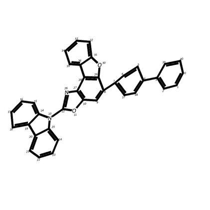 c1ccc(-c2ccc(-c3cc4oc(-n5c6ccccc6c6ccccc65)nc4c4c3oc3ccccc34)cc2)cc1